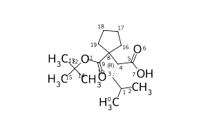 CC(C)C[C@@H](C(=O)O)C1(C(=O)OC(C)(C)C)CCCC1